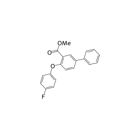 COC(=O)c1cc(-c2ccccc2)ccc1Oc1ccc(F)cc1